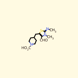 C/N=c1/sc(CC2CCN(C(=O)O)CC2)c(C=O)n1C